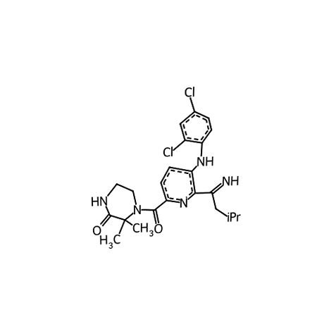 CC(C)CC(=N)c1nc(C(=O)N2CCNC(=O)C2(C)C)ccc1Nc1ccc(Cl)cc1Cl